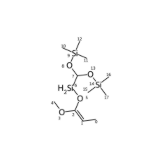 CC=C(OC)O[SiH2]C(O[Si](C)(C)C)O[Si](C)(C)C